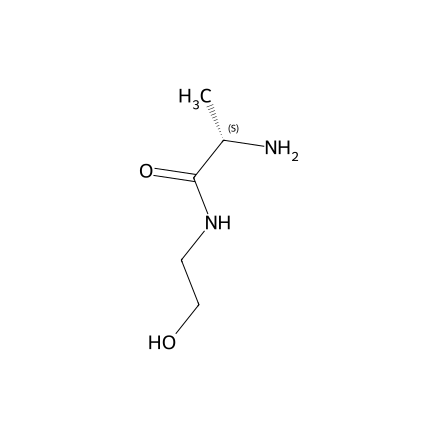 C[C@H](N)C(=O)NCCO